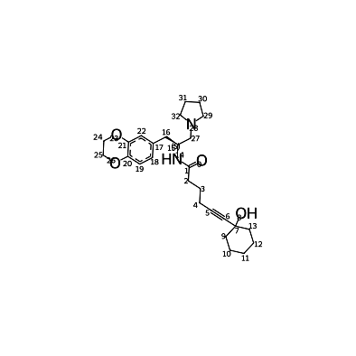 O=C(CCCC#CC1(O)CCCCC1)N[C@@H](Cc1ccc2c(c1)OCCO2)CN1CCCC1